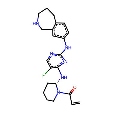 C=CC(=O)N1CCCC[C@@H]1Nc1nc(Nc2ccc3c(c2)CNCCC3)ncc1F